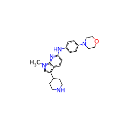 Cn1cc(C2CCNCC2)c2ccc(Nc3ccc(N4CCOCC4)cc3)nc21